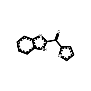 O=C(c1nc2ccccc2[nH]1)c1ccco1